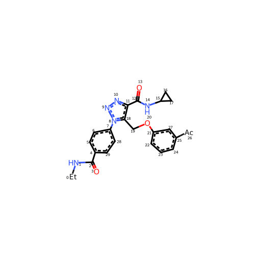 CCNC(=O)c1ccc(-n2nnc(C(=O)NC3CC3)c2COc2cccc(C(C)=O)c2)cc1